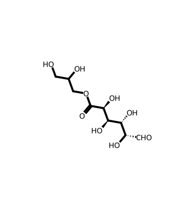 O=C[C@H](O)[C@@H](O)[C@@H](O)[C@H](O)C(=O)OCC(O)CO